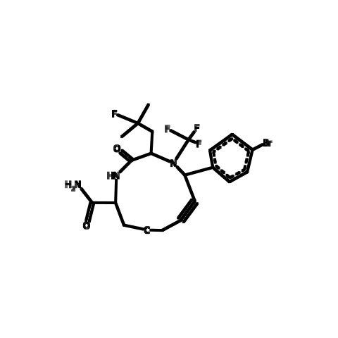 CC(C)(F)CC1C(=O)NC(C(N)=O)CCCC#CC(c2ccc(Br)cc2)N1C(F)(F)F